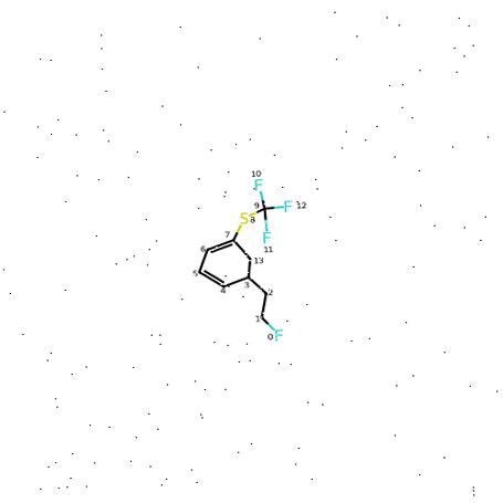 FCCC1[C]=CC=C(SC(F)(F)F)C1